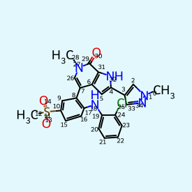 Cn1cc(-c2cc3c(-c4cc(S(C)(=O)=O)ccc4Nc4ccccc4Cl)cn(C)c(=O)c3[nH]2)cn1